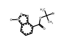 CC(C)(Br)OC(=O)c1cccc2c1no[n+]2[O-]